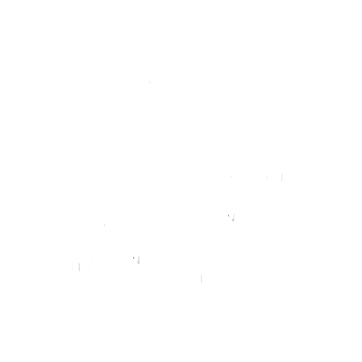 CCN(CC1CCN(S(C)(=O)=O)CC1)[C@H](C)Cc1ccc(OC)cc1.Cl